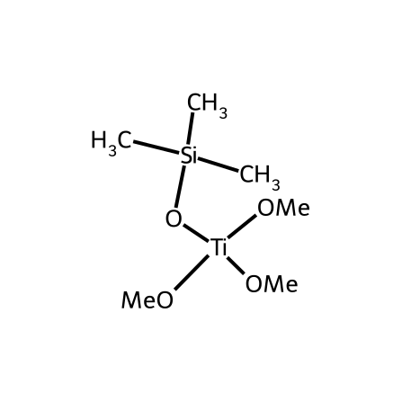 C[O][Ti]([O]C)([O]C)[O][Si](C)(C)C